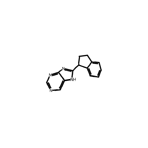 c1ccc2c(c1)CCC2c1nc2ncncc2[nH]1